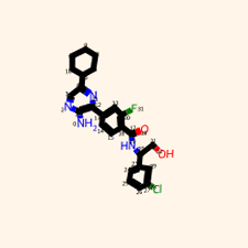 Nc1ncc(C2CCCCC2)nc1-c1ccc(C(=O)NC(CO)c2cccc(Cl)c2)c(F)c1